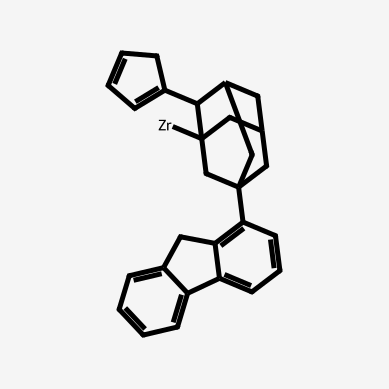 [Zr][C]12CC3CC(CC(c4cccc5c4Cc4ccccc4-5)(C3)C1)C2C1=CC=CC1